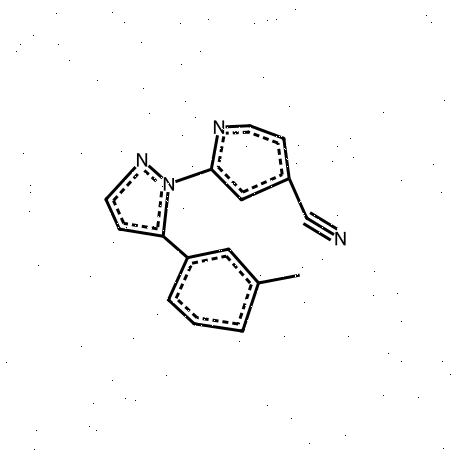 Cc1cccc(-c2ccnn2-c2cc(C#N)ccn2)c1